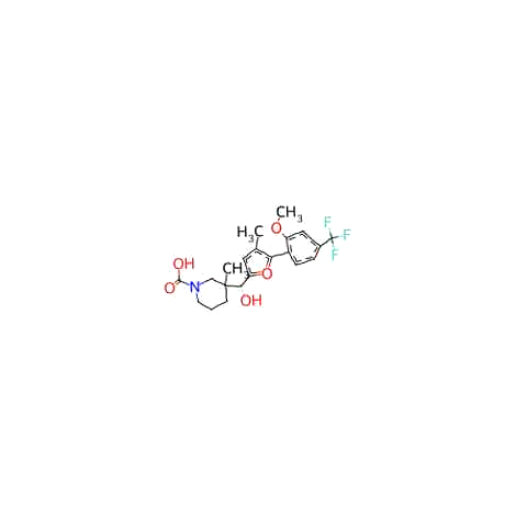 COc1cc(C(F)(F)F)ccc1-c1oc([C@H](O)C2(C)CCCN(C(=O)O)C2)cc1C